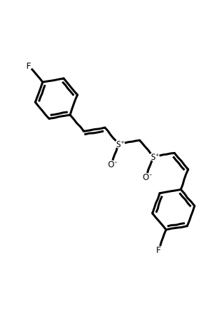 [O-][S+](/C=C\c1ccc(F)cc1)C[S+]([O-])/C=C/c1ccc(F)cc1